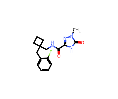 Cn1nc(C(=O)NCC2(Cc3ccccc3F)CCC2)[nH]c1=O